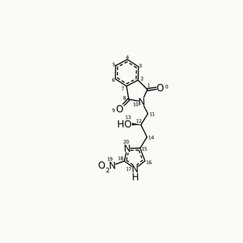 O=C1c2ccccc2C(=O)N1C[C@H](O)Cc1c[nH]c([N+](=O)[O-])n1